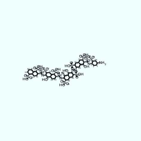 Nc1ccc(N=Nc2c(S(=O)(=O)O)cc3cc(S(=O)(=O)O)c(N=Nc4c(S(=O)(=O)O)cc5cc(S(=O)(=O)O)c(N=Nc6ccc7c(O)c(N=Nc8ccc9c(S(=O)(=O)O)cccc9c8S(=O)(=O)O)c(S(=O)(=O)O)cc7c6S(=O)(=O)O)c(N)c5c4O)cc3c2O)c(S(=O)(=O)O)c1